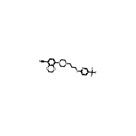 N#Cc1ccc(N2CCN(CCCSc3ccc(C(F)(F)F)cn3)CC2)c2c1OCCO2